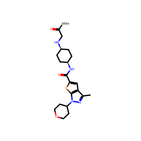 CNC(=O)CN[C@H]1CC[C@@H](NC(=O)c2cc3c(C)nn(C4CCOCC4)c3s2)CC1